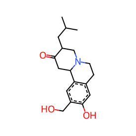 CC(C)CC1CN2CCc3cc(O)c(CO)cc3C2CC1=O